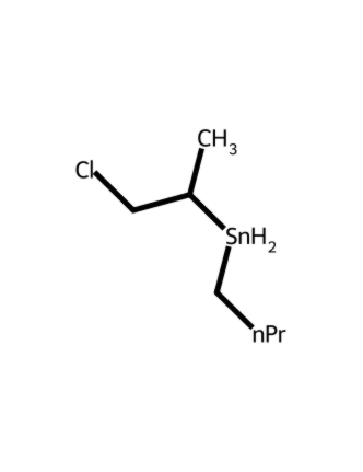 CCC[CH2][SnH2][CH](C)CCl